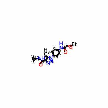 CCOCC(=O)Nc1ccc(-n2nnc(C(=O)NC3CC3)c2C)cc1